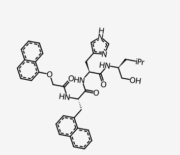 CC(C)C[C@@H](CO)NC(=O)[C@H](Cc1c[nH]cn1)NC(=O)[C@H](Cc1cccc2ccccc12)NC(=O)COc1cccc2ccccc12